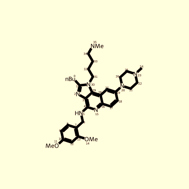 CCCCc1nc2c(NCc3ccc(OC)cc3OC)nc3ccc(N4CCN(C)CC4)cc3c2n1CCCCNC